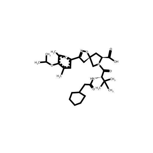 Cc1cc(C2=NO[C@]3(C2)C[C@@H](C(=O)O)N(C(=O)[C@@H](NC(=O)CC2CCCCC2)C(C)(C)C)C3)cc(C)c1OC(C)C